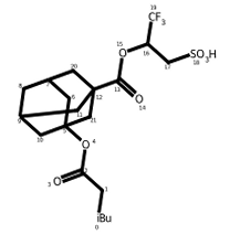 CCC(C)CC(=O)OC12CC3CC(C1)CC(C(=O)OC(CS(=O)(=O)O)C(F)(F)F)(C3)C2